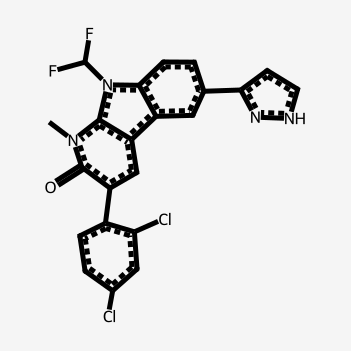 Cn1c(=O)c(-c2ccc(Cl)cc2Cl)cc2c3cc(-c4cc[nH]n4)ccc3n(C(F)F)c21